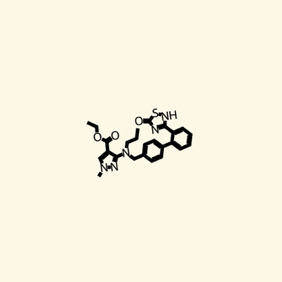 CCCN(Cc1ccc(-c2ccccc2-c2nc(=O)s[nH]2)cc1)c1nn(C)cc1C(=O)OCC